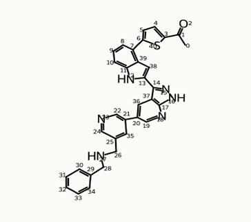 CC(=O)c1ccc(-c2cccc3[nH]c(-c4n[nH]c5ncc(-c6cncc(CNCc7ccccc7)c6)cc45)cc23)s1